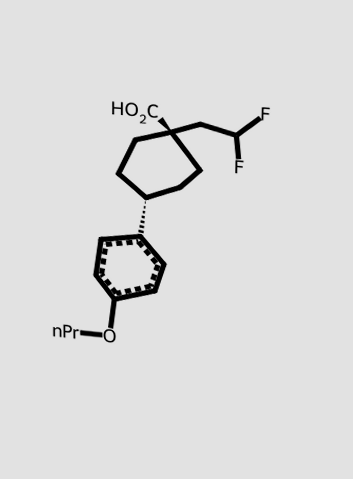 CCCOc1ccc([C@H]2CC[C@](CC(F)F)(C(=O)O)CC2)cc1